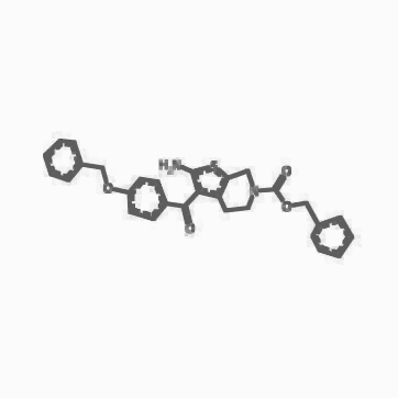 Nc1sc2c(c1C(=O)c1ccc(OCc3ccccc3)cc1)CCN(C(=O)OCc1ccccc1)C2